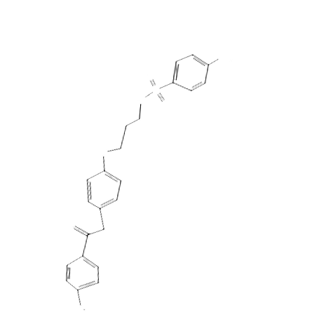 Cc1ccc(S(=O)(=O)OCCCOc2ccc(CC(=O)c3ccc(O)cc3)cc2)cc1